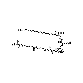 CCCCNC(=O)COCCOCCNC(=O)COCCOCCNC(=O)CC[C@@H](C=O)NC(=O)CC[C@H](NC(=O)CCC(NC(=O)CCCCCCCCCCCCCCCCC(=O)O)C(=O)O)C(=O)O